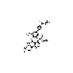 Cc1cc(C2CN(C(=O)OC(C)(C)C)C2)cc2c1O[C@H](C)c1c(N3CCS(=O)(=O)CC3)ncnc1N2C(=O)OC(C)(C)C